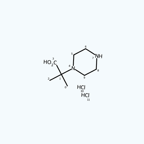 CC(C)(C(=O)O)N1CCNCC1.Cl.Cl